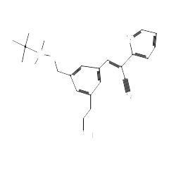 CC(C)(C)[Si](C)(C)OCc1cc(C=C(C#N)c2ccccn2)cc(CCO)c1